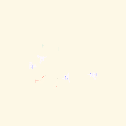 CNC1CCN(C(=O)C[C@@H](O)c2nccn2CC(F)(F)F)CC1